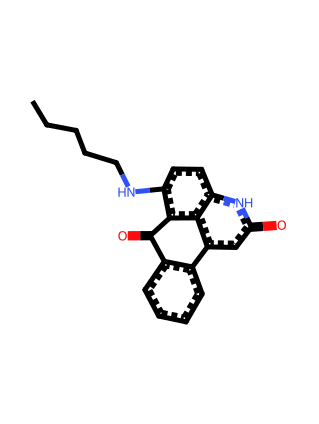 CCCCCNc1ccc2[nH]c(=O)cc3c2c1C(=O)c1ccccc1-3